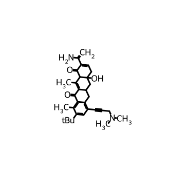 C=C(N)C1=CCC2(O)CC3Cc4c(C#CCN(C)C)cc(C(C)(C)C)c(C)c4C(=O)C3=C(C)C2C1=O